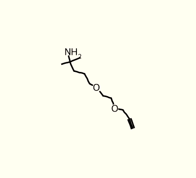 C#CCOCCOCCCC(C)(C)N